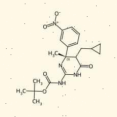 CC(C)(C)OC(=O)NC1=N[C@](C)(c2cccc([N+](=O)[O-])c2)C(CC2CC2)C(=O)N1